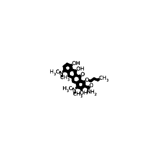 CCCCOc1c(C(N)=O)c(O)c(N(C)C)c2c1C(=O)C1=C(O)c3c(O)ccc(N(C)C)c3CC1C2